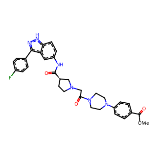 COC(=O)c1ccc(N2CCN(C(=O)CN3CC[C@@H](C(=O)Nc4ccc5[nH]nc(-c6ccc(F)cc6)c5c4)C3)CC2)cc1